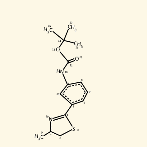 CC1CSC(c2cccc(NC(=O)OC(C)(C)C)c2)=N1